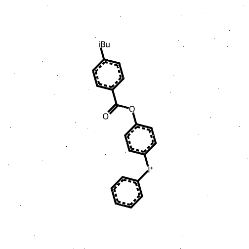 CCC(C)c1ccc(C(=O)Oc2ccc([I+]c3ccccc3)cc2)cc1